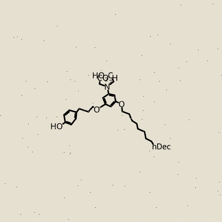 CCCCCCCCCCCCCCCCCCOc1cc(OCCCc2ccc(O)cc2)cc(N(CC(=O)O)CC(=O)O)c1